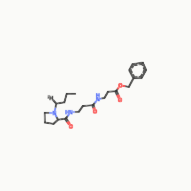 [2H]C(CCC)N1CCCC1C(=O)NCCC(=O)NCCC(=O)OCc1ccccc1